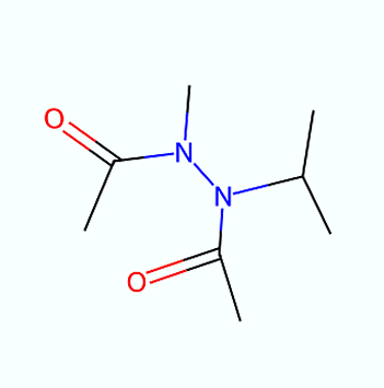 CC(=O)N(C)N(C(C)=O)C(C)C